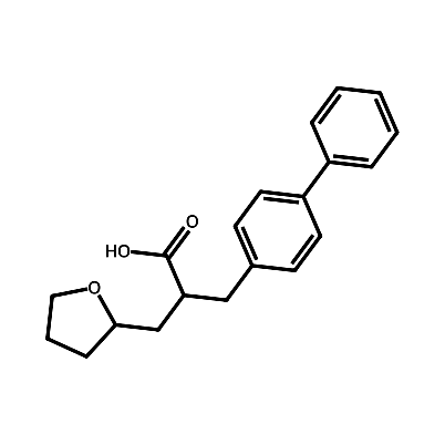 O=C(O)C(Cc1ccc(-c2ccccc2)cc1)CC1CCCO1